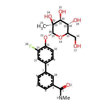 CNC(=O)c1cccc(-c2ccc(O[C@H]3OC(CO)[C@@H](O)[C@H](O)[C@]3(C)O)c(F)c2)c1